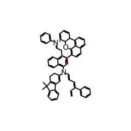 C=CCC/C=[N+](\C1=CC=CC2c3cccc4ccc(C5C=c6ccccc6=C(N(/C=C/C=C(\C=C)c6ccccc6)C6=CC7=C(CC6)C(C)(C)c6ccccc67)C5)c(c34)OC12)c1ccccc1